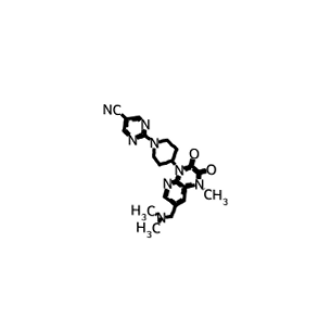 CN(C)Cc1cnc2c(c1)n(C)c(=O)c(=O)n2C1CCN(c2ncc(C#N)cn2)CC1